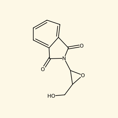 O=C1c2ccccc2C(=O)N1C1OC1CO